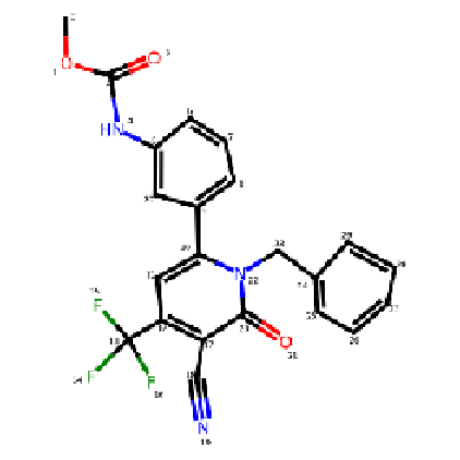 COC(=O)Nc1cccc(-c2cc(C(F)(F)F)c(C#N)c(=O)n2Cc2ccccc2)c1